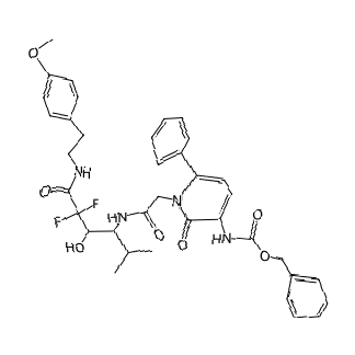 COc1ccc(CCNC(=O)C(F)(F)C(O)C(NC(=O)Cn2c(-c3ccccc3)ccc(NC(=O)OCc3ccccc3)c2=O)C(C)C)cc1